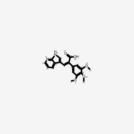 COc1cc(C(=Cc2c[nH]c3ncccc23)C(=O)O)cc(OC)c1OC